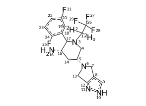 [2H]C([2H])(N1C[C@H](N2Cc3c[nH]nc3C2)C[C@H](N)C1c1cc(F)ccc1F)C(F)(F)F